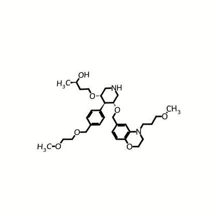 COCCCN1CCOc2ccc(CO[C@H]3CNC[C@@H](OCC[C@@H](C)O)[C@@H]3c3ccc(COCCOC)cc3)cc21